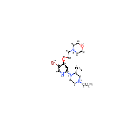 CC1CN(C(=O)O)CCN1c1cc(OCCN2CCOCC2)c(Br)cn1